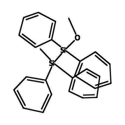 CO[Si](c1ccccc1)(c1ccccc1)[Si](C)(c1ccccc1)c1ccccc1